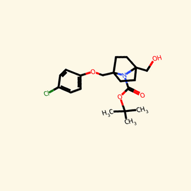 CC(C)(C)OC(=O)N1C2(CO)CCC1(COc1ccc(Cl)cc1)CC2